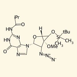 CO[C@]12C(N=[N+]=[N-])[C@H](n3cnc4c(=O)[nH]c(NC(=O)C(C)C)nc43)O[C@@H]1C2O[Si](C)(C)C(C)(C)C